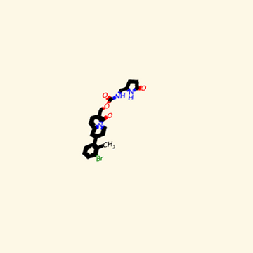 Cc1c(Br)cccc1-c1ccn2c(=O)c(COC(=O)NCC3CCC(=O)N3)ccc2c1